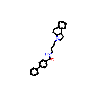 O=C(NCCCCN1CCC2c3ccccc3CCC21)c1ccc(-c2ccccc2)cc1